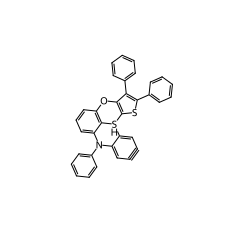 c1cc2c(cc#1)[SH]1c3sc(-c4ccccc4)c(-c4ccccc4)c3Oc3cccc(c31)N2c1ccccc1